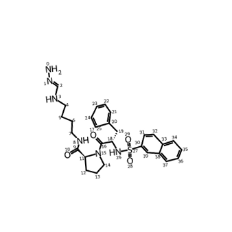 NN=CNCCCCNC(=O)[C@@H]1CCCN1C(=O)[C@H](Cc1ccccc1)NS(=O)(=O)c1ccc2ccccc2c1